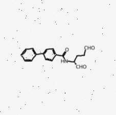 O=CCC[C@@H](C=O)NC(=O)c1ccc(-c2ccccc2)cc1